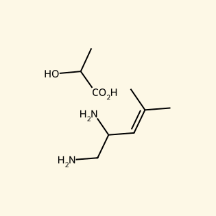 CC(C)=CC(N)CN.CC(O)C(=O)O